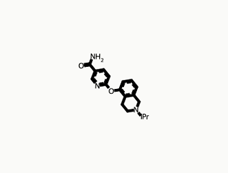 CC(C)N1CCc2c(cccc2Oc2ccc(C(N)=O)cn2)C1